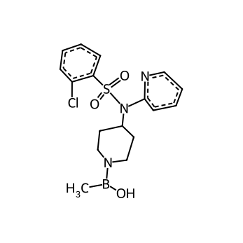 CB(O)N1CCC(N(c2ccccn2)S(=O)(=O)c2ccccc2Cl)CC1